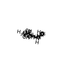 CC(C)[C@H](NC(=O)O)C(=O)N(O)CCCCC1NC=C(c2ccccc2)N1